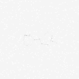 CN1CCSC(c2ccccc2)CC1